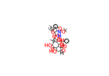 CC[Si](CC)(CC)O[C@@H](C(=O)O[C@H]1C[C@@]2(O)[C@@H](OC(=O)c3ccccc3)C3[C@](C)(C(=O)[C@H](O)C(=C1C)C2(C)C)[C@@H](O)C[C@H]1OC[C@@]31OC(C)=O)[C@@H](NC(=O)OC(C)(C)C)c1ccccc1